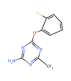 Nc1nc(Oc2ccccc2F)nc(C(F)(F)F)n1